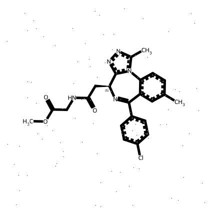 COC(=O)CNC(=O)C[C@@H]1N=C(c2ccc(Cl)cc2)c2cc(C)ccc2-n2c(C)nnc21